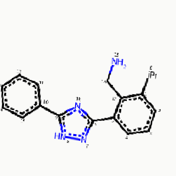 CC(C)c1cccc(-c2n[nH]c(-c3ccccc3)n2)c1CN